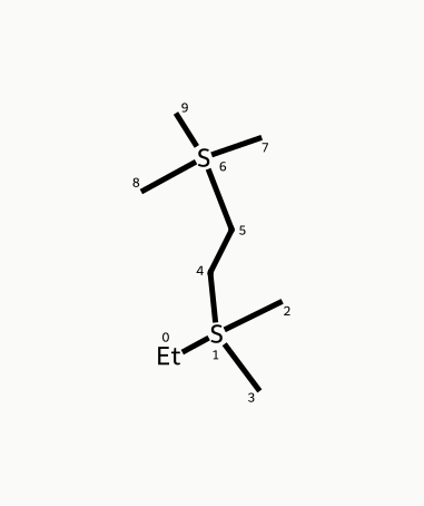 CCS(C)(C)CCS(C)(C)C